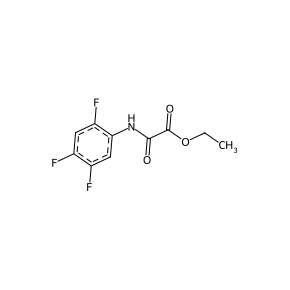 CCOC(=O)C(=O)Nc1cc(F)c(F)cc1F